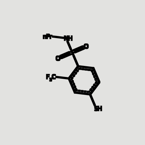 CCCNS(=O)(=O)c1ccc(S)cc1C(F)(F)F